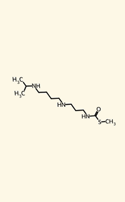 CSC(=O)NCCCNCCCCNC(C)C